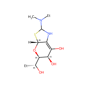 CC[C@@H](O)[C@H]1O[C@@H]2SC(N(C)CC)NC2=C(O)[C@H]1O